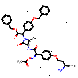 CC(=O)O[C@H]1[C@H](NC(=O)C(=NOC(=O)C(F)(F)F)c2ccc(OCCC(N)C(=O)O)cc2)C(=O)N1C(C(=O)OCc1ccccc1)c1ccc(OCc2ccccc2)cc1